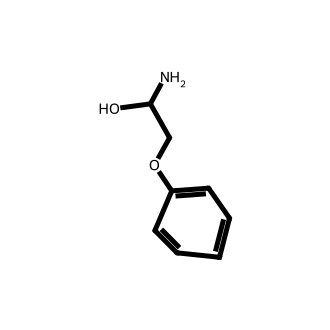 NC(O)COc1ccccc1